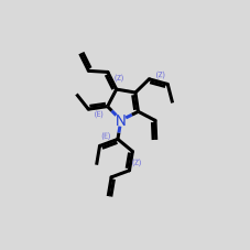 C=C/C=C\C(=C/C)n1c(C=C)c(/C=C\C)c(=C/C=C)/c1=C\C